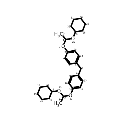 CC(Oc1ccc(Cc2ccc(OC(C)OC3CCCCC3)cc2)cc1)OC1CCCCC1